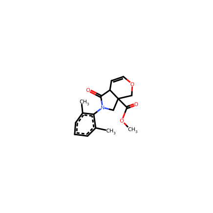 COC(=O)C12COC=CC1C(=O)N(c1c(C)cccc1C)C2